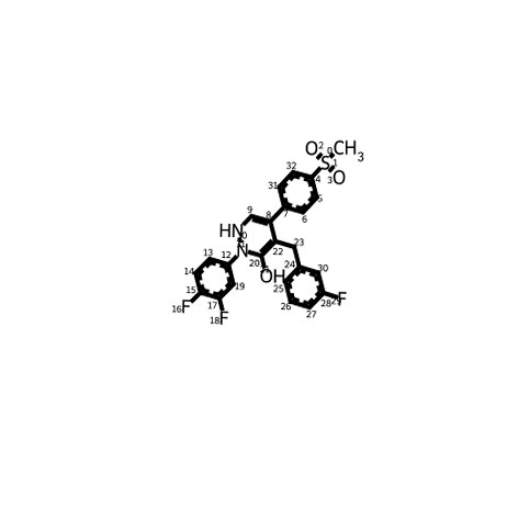 CS(=O)(=O)c1ccc(C2=CNN(c3ccc(F)c(F)c3)C(O)=C2Cc2cccc(F)c2)cc1